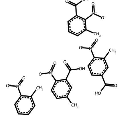 Cc1cc(C(=O)O)ccc1[N+](=O)[O-].Cc1ccc([N+](=O)[O-])c(C(=O)O)c1.Cc1cccc(C(=O)O)c1[N+](=O)[O-].Cc1ccccc1[N+](=O)[O-]